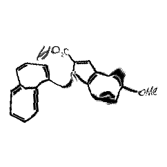 COc1ccc2c(c1)cc(C(=O)O)n2Cc1cccc2ccccc12